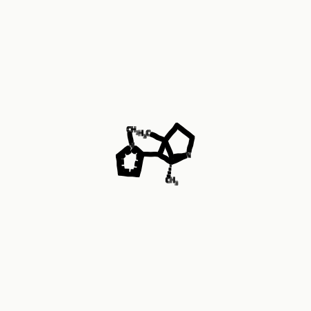 C[C@@H]1C(c2cccn2C)C2(C)CCN1C2